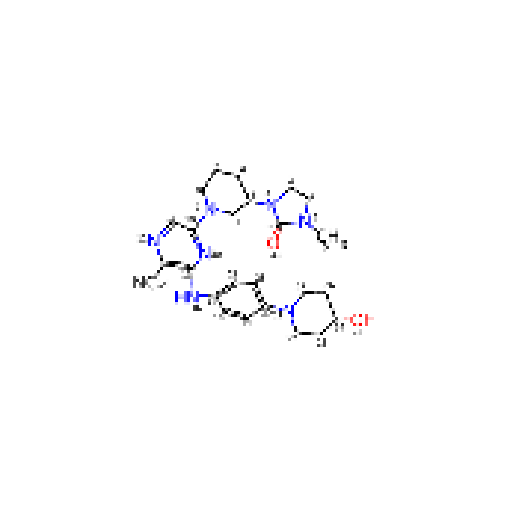 CN1CCN([C@@H]2CCCN(c3cnc(C#N)c(Nc4ccc(N5CCC(O)CC5)cc4)n3)C2)C1=O